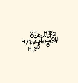 COc1cc(CC(P(=O)(O)O)P(=O)(O)O)cc(OC)c1OC